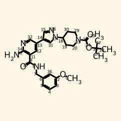 COc1cccc(CNC(=O)c2cc(-c3cnn(C4CCN(C(=O)OC(C)(C)C)CC4)c3)cnc2N)c1